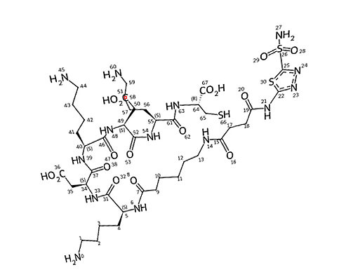 NCCCC[C@H](NC(=O)CCCCCNC(=O)CCC(=O)Nc1nnc(S(N)(=O)=O)s1)C(=O)N[C@@H](CC(=O)O)C(=O)N[C@@H](CCCCN)C(=O)N[C@@H](CC(=O)O)C(=O)N[C@@H](CCCCN)C(=O)N[C@@H](CS)C(=O)O